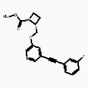 CC(C)(C)OC(=O)N1CC[C@H]1COc1cncc(C#Cc2cccc(F)c2)c1